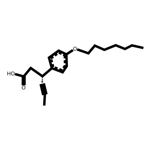 CC#C[C@H](CC(=O)O)c1ccc(OCCCCCCC)cc1